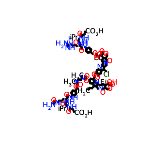 C=CCc1c2c(nc3c(C4Oc5cc6nc7c(c(CCl)c6cc5O4)Cn4c-7cc5c(c4=O)COC(=O)[C@@]5(CC)OC(=O)OCc4ccc(NC(=O)[C@H](CCCNC(=N)N)NC(=O)[C@@H](NC(=O)CCC(=O)O)C(C)C)cc4)cc(OC(=O)N(C)CCN(C)C(=O)OCc4ccc(NC(=O)[C@H](CCCNC(N)=O)NC(=O)[C@@H](NC(=O)CCC(=O)O)C(C)C)cc4)cc13)-c1cc3c(c(=O)n1C2)COC(=O)[C@]3(O)CC